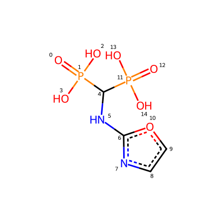 O=P(O)(O)C(Nc1ncco1)P(=O)(O)O